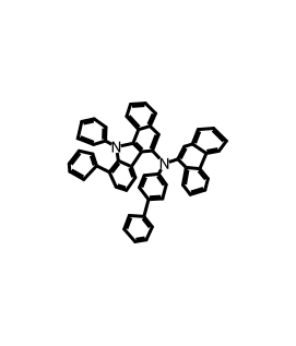 c1ccc(-c2ccc(N(c3cc4ccccc4c4ccccc34)c3cc4ccccc4c4c3c3cccc(-c5ccccc5)c3n4-c3ccccc3)cc2)cc1